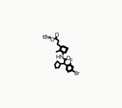 Cc1c(CCC(=O)OC(C)(C)C)cccc1NC(=O)C(c1ccc(Br)cc1F)C1CCCC1